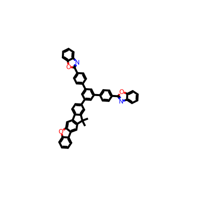 CC1(C)c2cc(-c3cc(-c4ccc(-c5nc6ccccc6o5)cc4)cc(-c4ccc(-c5nc6ccccc6o5)cc4)c3)ccc2-c2cc3oc4ccccc4c3cc21